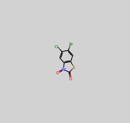 O=C1Sc2cc(Br)c(Cl)cc2[N+]1=O